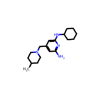 CC1CCN(Cc2cc(N)nc(NC3CCCCC3)c2)CC1